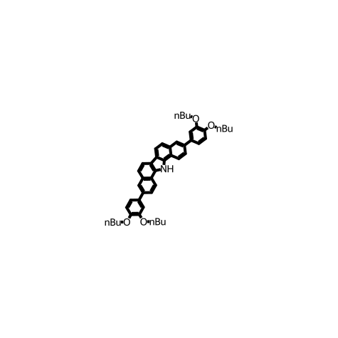 CCCCOc1ccc(-c2ccc3c(ccc4c5ccc6cc(-c7ccc(OCCCC)c(OCCCC)c7)ccc6c5[nH]c34)c2)cc1OCCCC